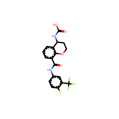 O=C(O)NC1CCOc2c(C(=O)Nc3ccc(F)c(C(F)(F)F)c3)cccc21